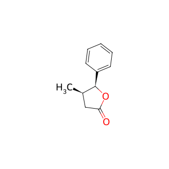 C[C@@H]1CC(=O)O[C@@H]1c1ccccc1